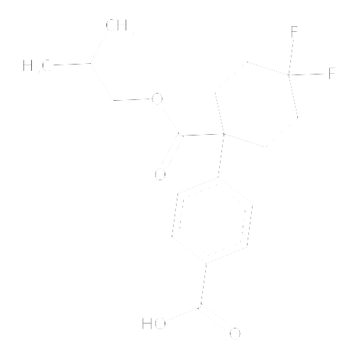 CC(C)COC(=O)C1(c2ccc(C(=O)O)cc2)CCC(F)(F)CC1